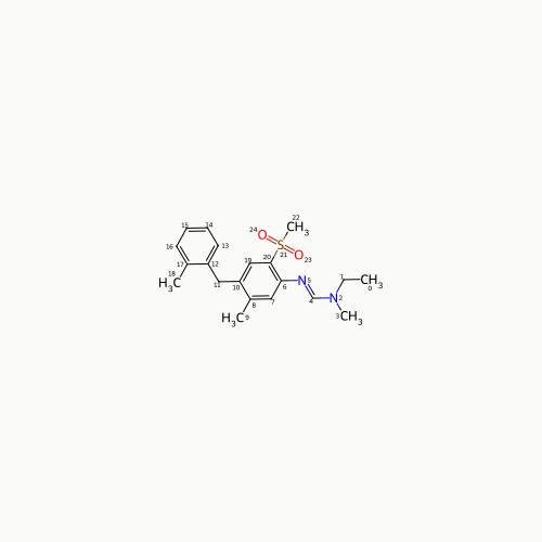 CCN(C)C=Nc1cc(C)c(Cc2ccccc2C)cc1S(C)(=O)=O